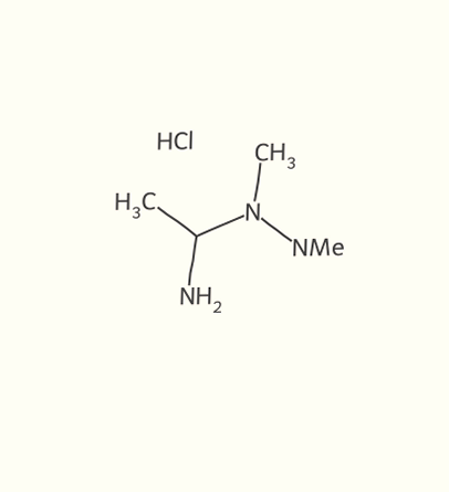 CNN(C)C(C)N.Cl